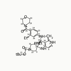 C=C1NC=CC(NC2(CC)CCN(C(=O)OC(C)(C)C)CC2)=C1C(=N)Nc1ccc(C(=O)N2CCOCC2)c(CC)c1